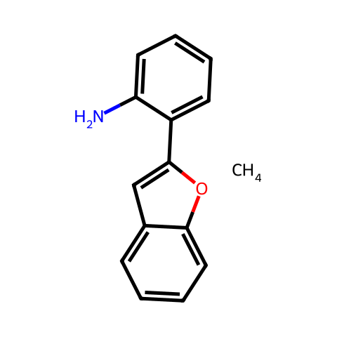 C.Nc1ccccc1-c1cc2ccccc2o1